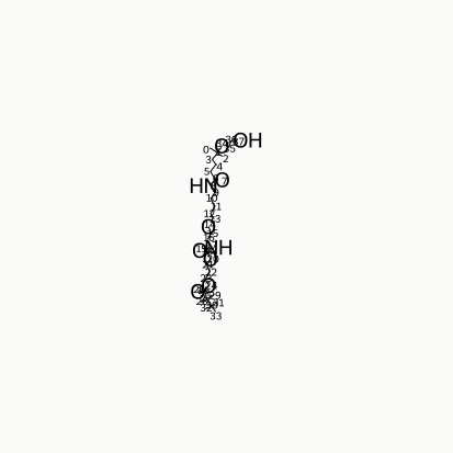 CC(C)(CCCC(=O)NCCCCCOCCNC(=O)OCCCOC(=O)C(C)(C)C(C)(C)C)OCCO